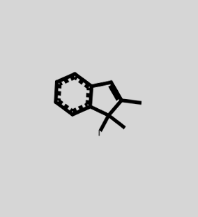 CC1=Cc2ccccc2C1(C)I